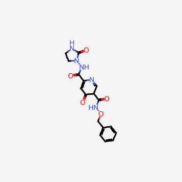 O=C(NN1CCNC1=O)C1=CC(=O)C(C(=O)NOCc2ccccc2)C=N1